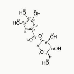 O=C(O[C@H]1CO[C@H](CO)[C@@H](O)[C@@H]1O)c1cc(O)c(O)c(O)c1